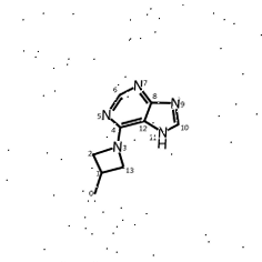 CC1CN(c2ncnc3nc[nH]c23)C1